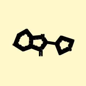 [c]1ccc2nc(-c3ccsc3)[nH]c2c1